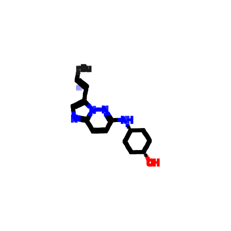 CCCC/C=C/c1cnc2ccc(N[C@H]3CC[C@@H](O)CC3)nn12